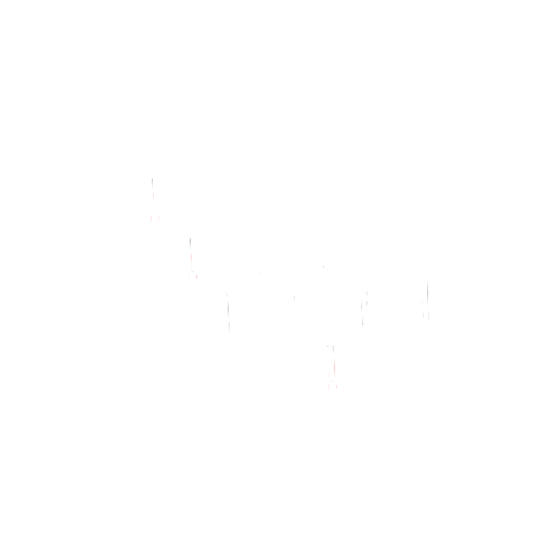 C=COC(=O)OC1CCC2C(=O)c3ccccc3SC2C1